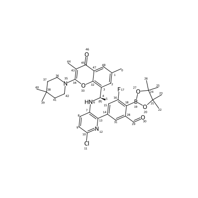 Cc1cc([C@@H](C)Nc2ccc(Cl)nc2-c2cc(F)c(B3OC(C)(C)C(C)(C)O3)c(C=O)c2)c2oc(N3CCC(C)(C)CC3)c(C)c(=O)c2c1